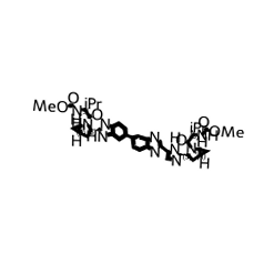 COC(=O)N[C@H](C(=O)N1[C@@H]2C[C@@H]2C[C@H]1c1ncc(-c2cnc3cc(-c4ccc5nc([C@@H]6C[C@H]7C[C@H]7N6C(=O)[C@@H](NC(=O)OC)C(C)C)[nH]c5c4)ccc3n2)[nH]1)C(C)C